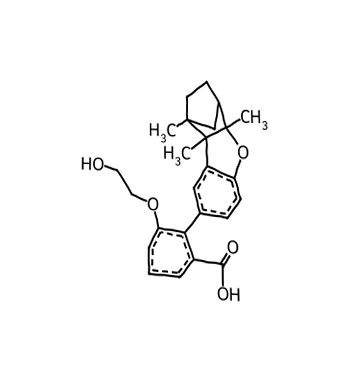 CC12CCC(C1)C1(C)Oc3ccc(-c4c(OCCO)cccc4C(=O)O)cc3C21C